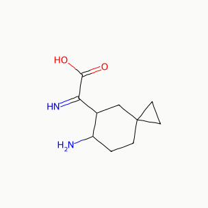 N=C(C(=O)O)C1CC2(CCC1N)CC2